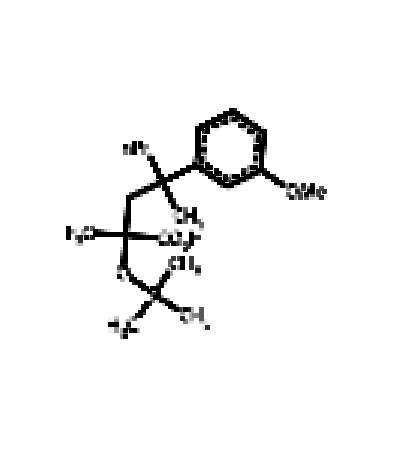 CCCC(C)(CC(O[Si](C)(C)C)(C(=O)O)C(F)(F)F)c1cccc(OC)c1